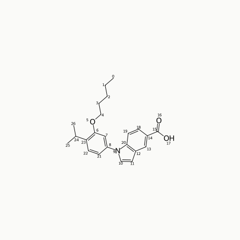 CCCCCOc1cc(-n2ccc3cc(C(=O)O)ccc32)ccc1C(C)C